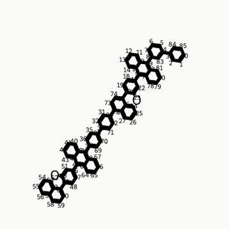 c1ccc(-c2cccc(-c3c4ccccc4c(-c4ccc5c(c4)Oc4cccc6c(-c7ccc(-c8ccc(-c9c%10ccccc%10c(-c%10ccc%11c(c%10)Oc%10cccc%12cccc-%11c%10%12)c%10ccccc9%10)cc8)cc7)ccc-5c46)c4ccccc34)c2)cc1